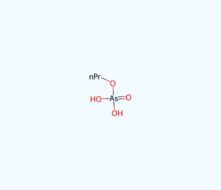 CCCO[As](=O)(O)O